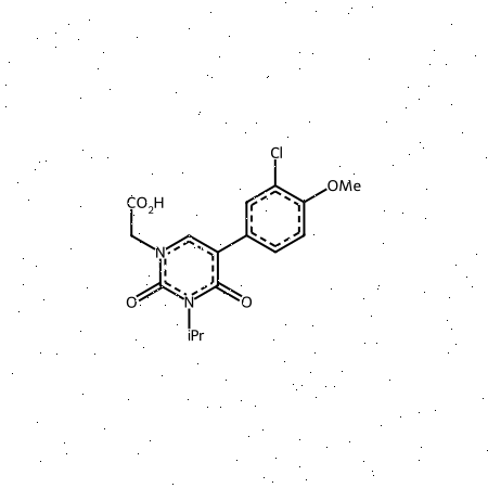 COc1ccc(-c2cn(CC(=O)O)c(=O)n(C(C)C)c2=O)cc1Cl